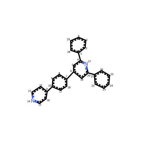 c1ccc(-c2cc(-c3ccc(-c4ccncc4)cc3)cc(-c3ccccc3)n2)cc1